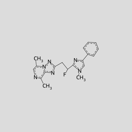 Cc1ncc(C)n2nc(CC(F)c3nc(-c4ccccc4)cn3C)nc12